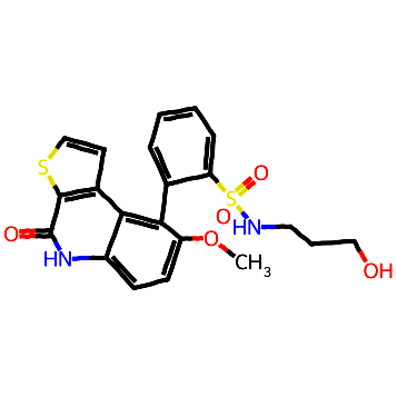 COc1ccc2[nH]c(=O)c3sccc3c2c1-c1ccccc1S(=O)(=O)NCCCO